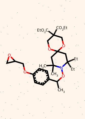 CCOC(=O)C1(C(=O)OCC)COC2(CC(C)(C)N(OC(C)c3ccc(OCC4CO4)cc3)C(CC)(CC)C2)OC1